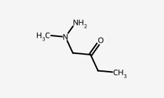 CCC(=O)CN(C)N